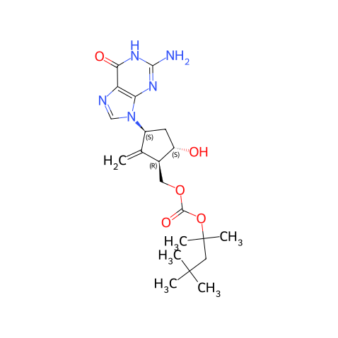 C=C1[C@H](COC(=O)OC(C)(C)CC(C)(C)C)[C@@H](O)C[C@@H]1n1cnc2c(=O)[nH]c(N)nc21